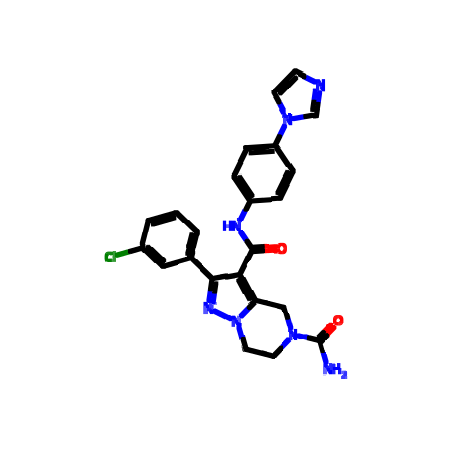 NC(=O)N1CCn2nc(-c3cccc(Cl)c3)c(C(=O)Nc3ccc(-n4ccnc4)cc3)c2C1